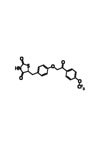 O=C1NC(=O)C(Cc2ccc(OCC(=O)c3ccc(OC(F)(F)F)cc3)cc2)S1